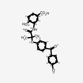 CC(C)(Oc1ccc(C(=O)c2ccc(Cl)cc2)cc1)C(=O)Nc1cc(C(=O)O)ccc1O